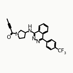 CC#CC(=O)N1CCC(Nc2nnc(-c3ccc(C(F)(F)F)cc3)c3ccccc23)C1